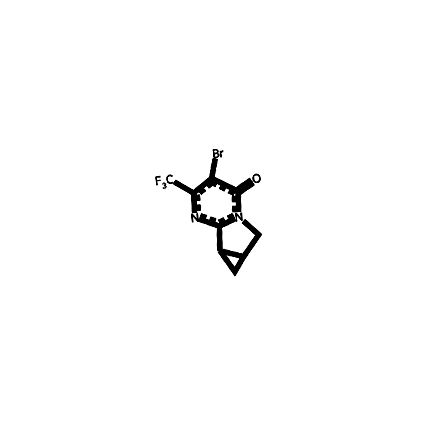 O=c1c(Br)c(C(F)(F)F)nc2n1CC1CC21